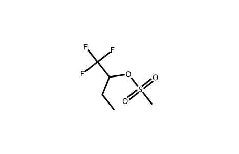 CCC(OS(C)(=O)=O)C(F)(F)F